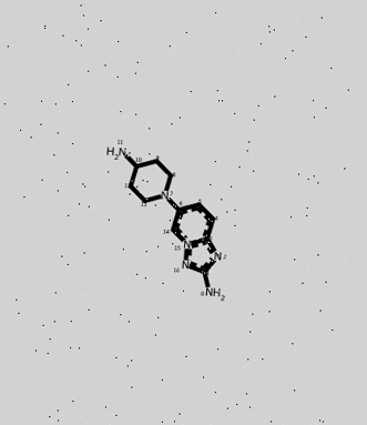 Nc1nc2ccc(N3CCC(N)CC3)cn2n1